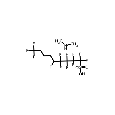 CNC.O=S(=O)(O)C(F)(F)C(F)(F)C(F)(F)C(F)(F)C(F)CCCC(F)(F)F